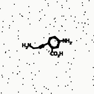 NCC#Cc1ccc(N)cc1C(=O)O